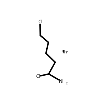 NC(Cl)CCCCCl.[Rh]